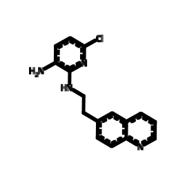 Nc1ccc(Cl)nc1NCCc1ccc2ncccc2c1